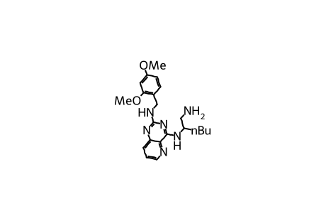 CCCCC(CN)Nc1nc(NCc2ccc(OC)cc2OC)nc2cccnc12